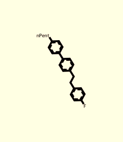 CCCCCc1ccc(-c2ccc(CCc3ccc(F)cc3)cc2)cc1